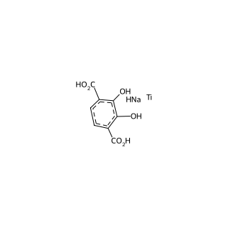 O=C(O)c1ccc(C(=O)O)c(O)c1O.[NaH].[Ti]